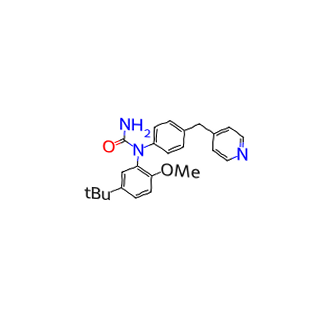 COc1ccc(C(C)(C)C)cc1N(C(N)=O)c1ccc(Cc2ccncc2)cc1